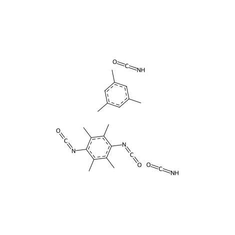 Cc1c(C)c(N=C=O)c(C)c(C)c1N=C=O.Cc1cc(C)cc(C)c1.N=C=O.N=C=O